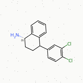 N[C@H]1CCC(c2ccc(Cl)c(Cl)c2)c2ccccc21